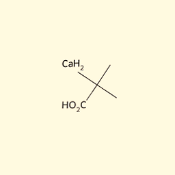 CC(C)(C)C(=O)O.[CaH2]